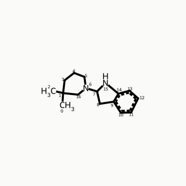 CC1(C)CCCN(C2Cc3ccccc3N2)C1